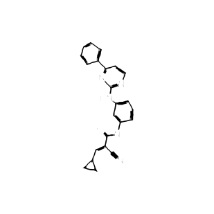 N#CC(=CC1CC1)C(=O)Nc1cccc(Nc2nccc(-c3ccccc3)n2)c1